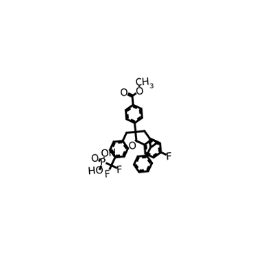 COC(=O)c1ccc(C(Cc2ccc(C(F)(F)P(=O)(O)O)cc2)(CC2CC2c2ccccc2)C(=O)c2ccc(F)cc2)cc1